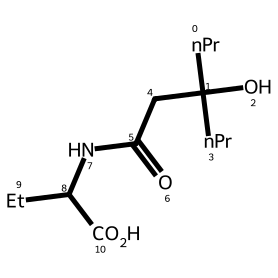 CCCC(O)(CCC)CC(=O)NC(CC)C(=O)O